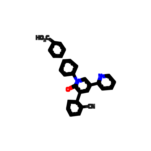 N#Cc1ccccc1-c1cc(-c2ccccn2)cn(-c2ccccc2)c1=O.O=C(O)c1ccccc1